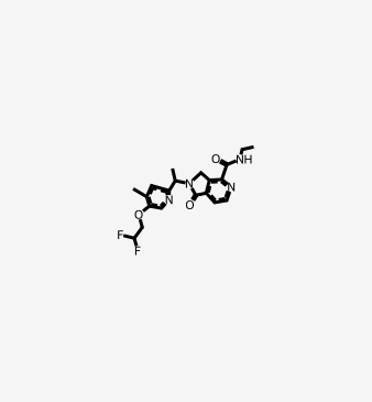 CCNC(=O)c1nccc2c1CN(C(C)c1cc(C)c(OCC(F)F)cn1)C2=O